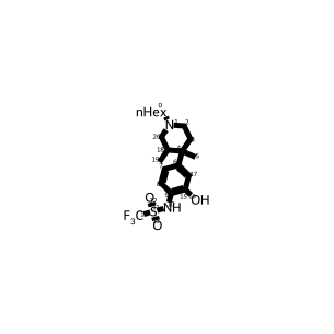 CCCCCCN1CCC(C)(c2ccc(NS(=O)(=O)C(F)(F)F)c(O)c2)C(C)C1